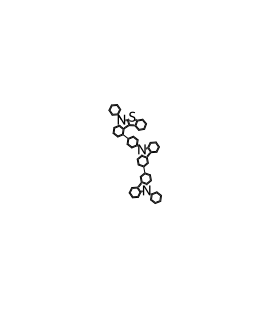 c1ccc(-n2c3ccccc3c3cc(-c4ccc5c(c4)c4ccccc4n5-c4ccc(-c5cccc6c5c5c7ccccc7sc5n6-c5ccccc5)cc4)ccc32)cc1